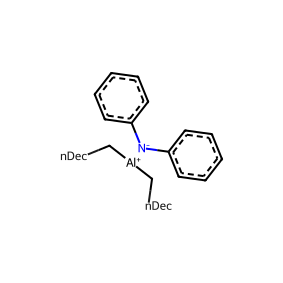 CCCCCCCCCC[CH2][Al+][CH2]CCCCCCCCCC.c1ccc([N-]c2ccccc2)cc1